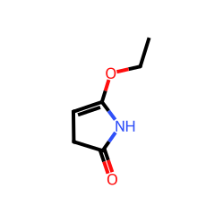 CCOC1=CCC(=O)N1